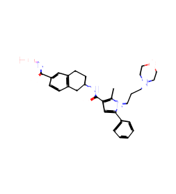 Cc1c(C(=O)NC2CCc3cc(C(=O)NO)ccc3C2)cc(-c2ccccc2)n1CCCN1CCOCC1